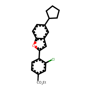 CCOC(=O)c1ccc(-c2cc3cc(C4CCCC4)ccc3o2)c(Cl)c1